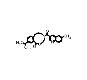 Cc1ccc2ncc(C(=O)N3CCCc4ccc(C(C)C)cc4C(=O)OCC3)cc2c1